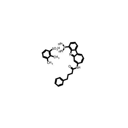 CCCN(CCC)c1cccc2c3cccc(NC(=O)CCCc4ccccc4)cc-3nc12.Cc1cccc(S(=O)(=O)O)c1C